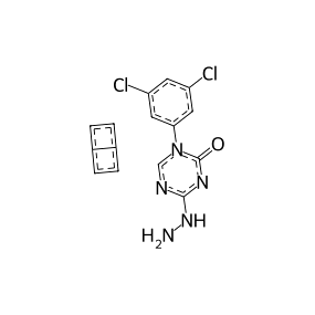 NNc1ncn(-c2cc(Cl)cc(Cl)c2)c(=O)n1.c1cc2ccc1-2